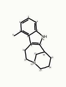 Cc1cccc2[nH]c3c(c12)CCN1CCCC3C1